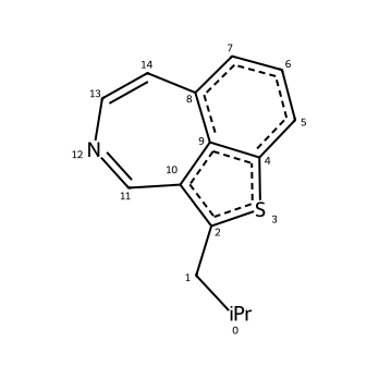 CC(C)Cc1sc2cccc3c2c1C=NC=C3